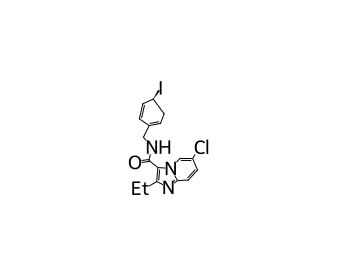 CCc1nc2ccc(Cl)cn2c1C(=O)NCC1=CC[C@H](I)C=C1